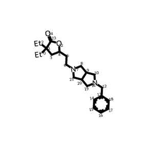 CCC1(CC)CC(CCN2CC3CN(Cc4ccccc4)CC3C2)OC1=O